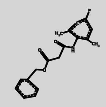 Cc1cc(F)cc(C)c1NC(=O)CC(=O)OCc1ccccc1